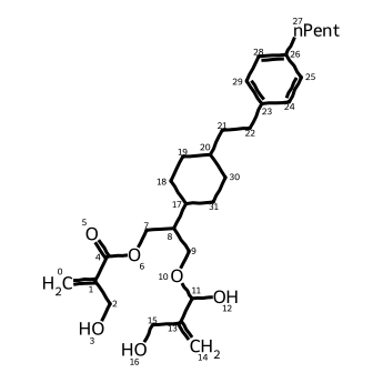 C=C(CO)C(=O)OCC(COC(O)C(=C)CO)C1CCC(CCc2ccc(CCCCC)cc2)CC1